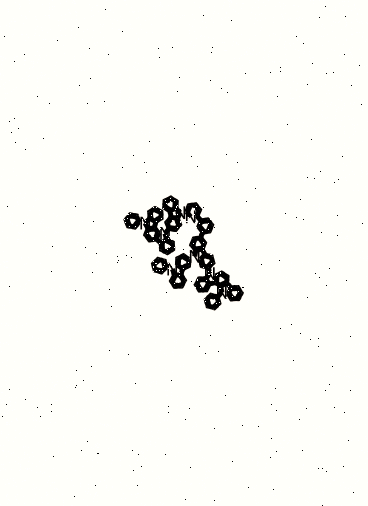 c1ccc(-n2c3ccccc3c3cc(-n4c5ccc(-c6cccc(-c7cccc(-n8c9ccccc9c9cc(-n%10c%11ccccc%11c%11ccc%12c(c%13ccccc%13n%12-c%12ccccc%12)c%11%10)ccc98)n7)c6)cc5c5ccc(-n6c7ccccc7c7c6ccc6c8ccccc8n(-c8ccccc8)c67)cc54)ccc32)cc1